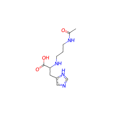 CC(=O)NCCCNC(Cc1cnc[nH]1)C(=O)O